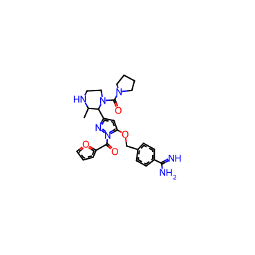 CC1NCCN(C(=O)N2CCCC2)C1c1cc(OCc2ccc(C(=N)N)cc2)n(C(=O)c2ccco2)n1